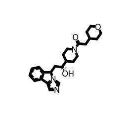 O=C(CC1CCOCC1)N1CCC([C@H](O)CC2c3ccccc3-c3cncn32)CC1